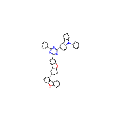 c1ccc(-c2nc(-c3ccc4c(c3)oc3ccc(-c5cccc6oc7ccccc7c56)cc34)nc(-c3ccc4c(c3)c3ccccc3n4-c3ccccc3)n2)cc1